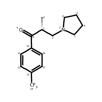 C[C@H](CN1CCCC1)C(=O)c1ccc(C(F)(F)F)cc1